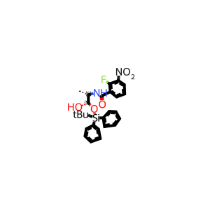 C[C@H](NC(=O)c1cccc([N+](=O)[O-])c1F)[C@@H](O)O[Si](c1ccccc1)(c1ccccc1)C(C)(C)C